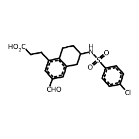 O=Cc1cc(CCC(=O)O)c2c(c1)CC(NS(=O)(=O)c1ccc(Cl)cc1)CC2